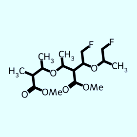 COC(=O)C(C)C(C)OC(C)C(C(=O)OC)C(CF)OC(C)CF